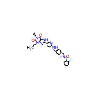 CCCn1c(=O)n(C2CC2)c(=O)c2[nH]c(-c3ccc(NCc4ccc(CNC(=O)c5ccccc5F)cc4)nc3)nc21